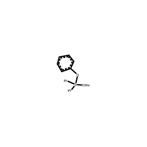 CO[Si](Oc1ccccc1)(C(C)C)C(C)C